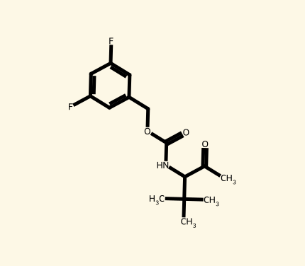 CC(=O)C(NC(=O)OCc1cc(F)cc(F)c1)C(C)(C)C